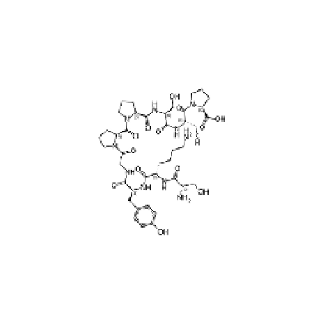 NCCCC[C@H](NC(=O)[C@@H](N)CO)C(=O)N[C@@H](Cc1ccc(O)cc1)C(=O)NCC(=O)N1CCC[C@H]1C(=O)N1CCC[C@H]1C(=O)N[C@@H](CO)C(=O)N[C@@H](CS)C(=O)N1CCC[C@H]1C(=O)O